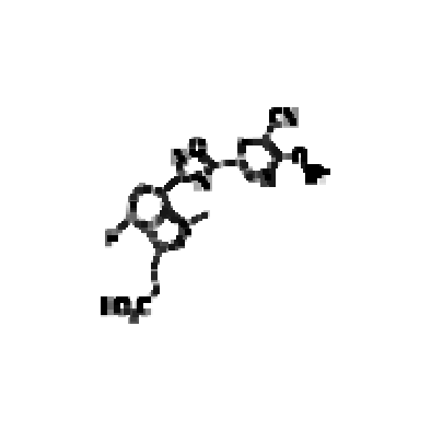 CC(C)Oc1ncc(-c2nc(-c3ccc(F)c4c(CCC(=O)O)cn(C)c34)no2)cc1C#N